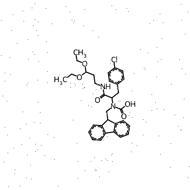 CCOC(CCNC(=O)C(Cc1ccc(Cl)cc1)N(CC1c2ccccc2-c2ccccc21)C(=O)O)OCC